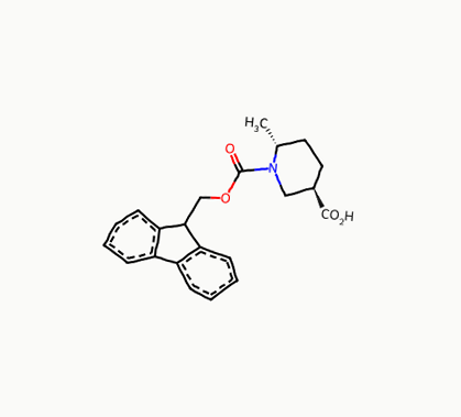 C[C@@H]1CC[C@@H](C(=O)O)CN1C(=O)OCC1c2ccccc2-c2ccccc21